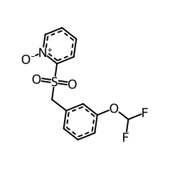 O=S(=O)(Cc1cccc(OC(F)F)c1)c1cccc[n+]1[O-]